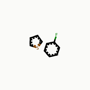 Fc1c[c]ccc1.c1ccsc1